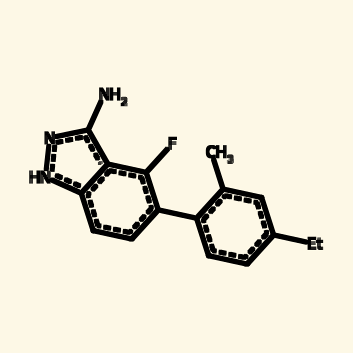 CCc1ccc(-c2ccc3[nH]nc(N)c3c2F)c(C)c1